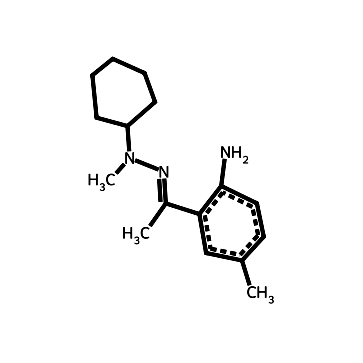 C/C(=N\N(C)C1CCCCC1)c1cc(C)ccc1N